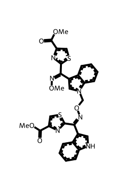 CO/N=C(/c1nc(C(=O)OC)cs1)c1cn(CO/N=C(\c2nc(C(=O)OC)cs2)c2c[nH]c3ccccc23)c2ccccc12